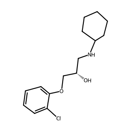 O[C@@H](CNC1CCCCC1)COc1ccccc1Cl